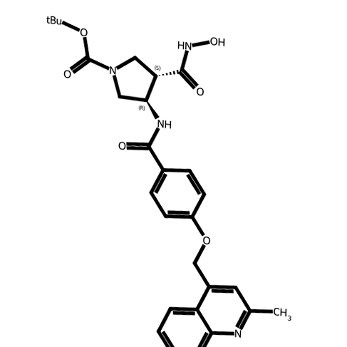 Cc1cc(COc2ccc(C(=O)N[C@H]3CN(C(=O)OC(C)(C)C)C[C@@H]3C(=O)NO)cc2)c2ccccc2n1